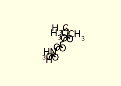 [3H]OC(=O)NCOC(=O)CCOC(=O)C(C)(C)CC